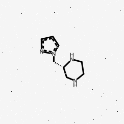 c1cnn(C[C@H]2CNCCN2)c1